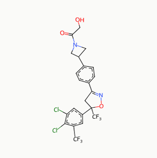 O=C(CO)N1CC(c2ccc(C3=NOC(c4cc(Cl)c(Cl)c(C(F)(F)F)c4)(C(F)(F)F)C3)cc2)C1